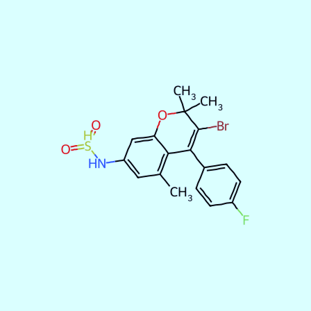 Cc1cc(N[SH](=O)=O)cc2c1C(c1ccc(F)cc1)=C(Br)C(C)(C)O2